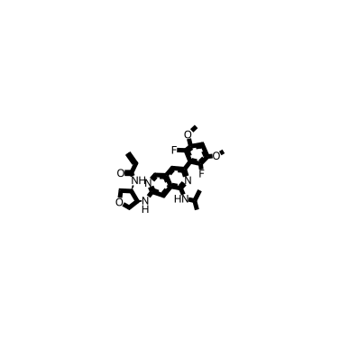 C=CC(=O)N[C@H]1COC[C@H]1Nc1cc2c(NC(C)C)nc(-c3c(F)c(OC)cc(OC)c3F)cc2cn1